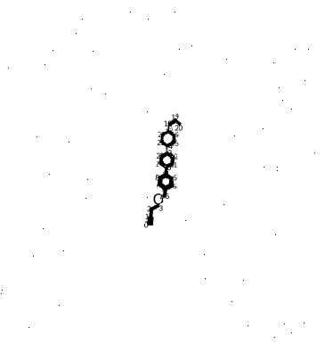 C#CCCOCc1ccc(-c2ccc([C@H]3CC[C@H](/C=C\C)CC3)cc2)cc1